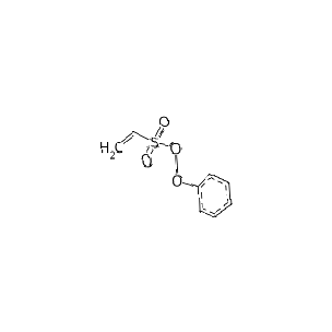 C=CS(=O)(=O)OOc1ccccc1